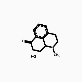 CN1CCc2cccc3c2C1CCC3=O.Cl